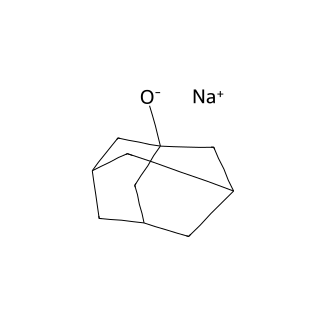 [Na+].[O-]C12CC3CC(CC(C3)C1)C2